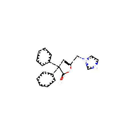 O=C1OC(Cn2ccnc2)=CC1(c1ccccc1)c1ccccc1